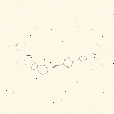 COC(=O)N[C@H](C(=O)N1CCC[C@H]1c1nc2ccc(C#Cc3ccc(-c4cnc([C@@H]5CCCCN5C(=O)[C@@H](N)C(C)C)[nH]4)cc3)cc2[nH]1)C(C)C